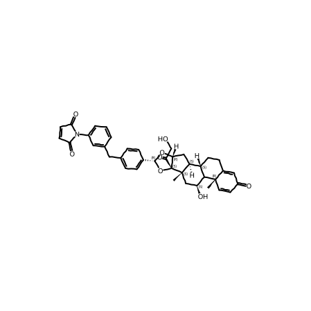 C[C@]12C=CC(=O)C=C1CC[C@@H]1C2[C@@H](O)C[C@@]2(C)[C@H]1C[C@H]1O[C@@H](c3ccc(Cc4cccc(N5C(=O)C=CC5=O)c4)cc3)O[C@]12C(=O)CO